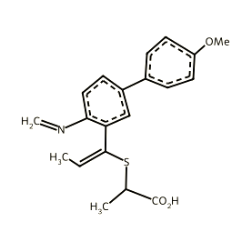 C=Nc1ccc(-c2ccc(OC)cc2)cc1/C(=C\C)SC(C)C(=O)O